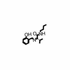 CCCCNC(=O)[C@@H](N=Cc1ccccc1O)C(C)C